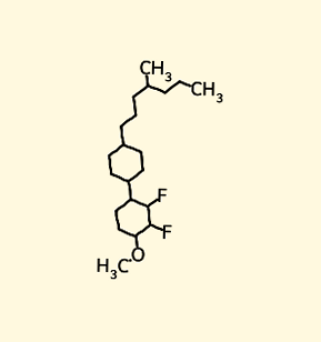 CCCC(C)CCCC1CCC(C2CCC(OC)C(F)C2F)CC1